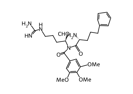 COc1cc(C(=O)N(C(=O)[C@H](N)CCCc2ccccc2)[C@H]([C]=O)CCCNC(=N)N)cc(OC)c1OC